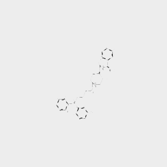 O=C1c2ccccc2CN1C1CCN(CCCCC(c2ccccc2)c2ccccc2)CC1